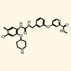 CNC(=O)c1cc(Oc2cccc(CNC(=O)Nc3cc(C)c(Cl)cc3OC3CCNCC3)c2)ccn1